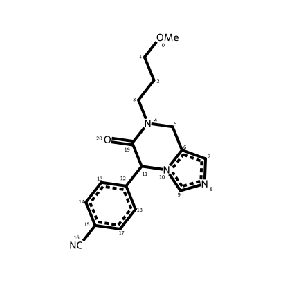 COCCCN1Cc2cncn2C(c2ccc(C#N)cc2)C1=O